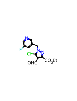 CCOC(=O)c1nn(Cc2cncc(F)c2)c(Cl)c1C=O